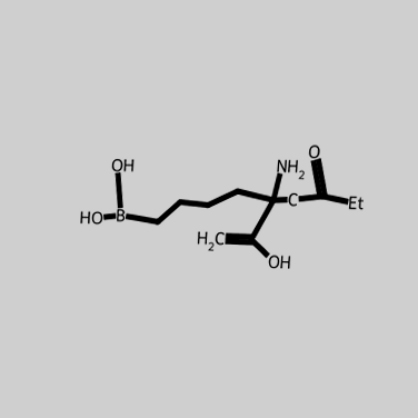 C=C(O)C(N)(CCCCB(O)O)CC(=O)CC